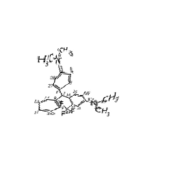 CN(C)c1ccc(C(c2ccccc2)c2ccc(N(C)C)cc2C(F)(F)F)cc1